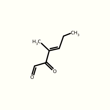 CC/C=C(\C)C(=O)C=O